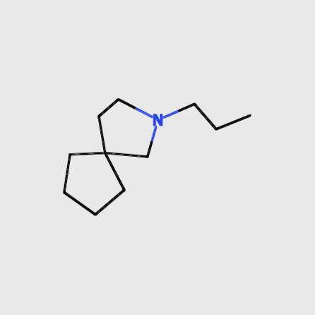 CCCN1CCC2(CCCC2)C1